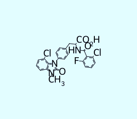 Cn1c(=O)n(-c2ccc(CC(NC(=O)c3c(F)cccc3Cl)C(=O)O)cc2)c2c(Cl)cccc21